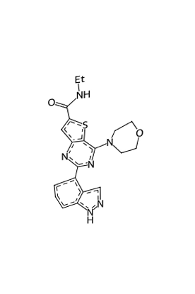 CCNC(=O)c1cc2nc(-c3cccc4[nH]ncc34)nc(N3CCOCC3)c2s1